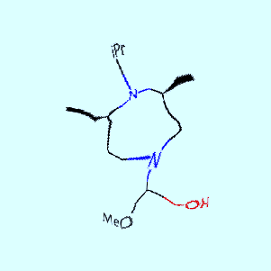 COC(O)N1C[C@@H](C)N(C(C)C)[C@@H](C)C1